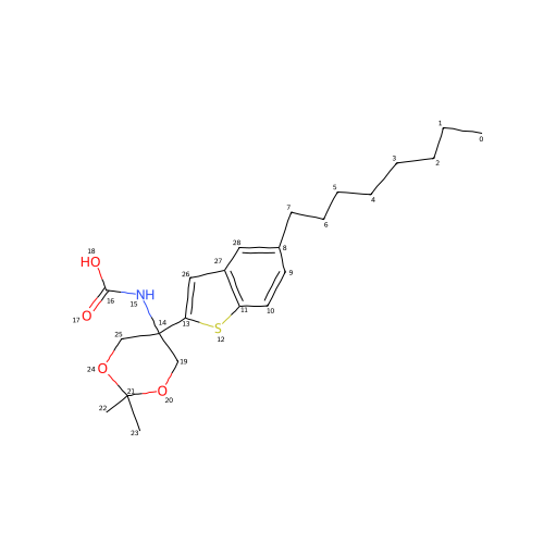 CCCCCCCCc1ccc2sc(C3(NC(=O)O)COC(C)(C)OC3)cc2c1